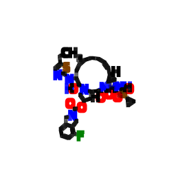 CCc1cnc(N[C@H]2CCCCC/C=C\[C@@H]3C[C@@]3(C(=O)NS(=O)(=O)C3CC3)NC(=O)[C@@H]3C[C@@H](OC(=O)N4Cc5cccc(F)c5C4)CN3C2=O)s1